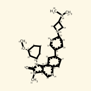 CO[C@@H]1CCC[C@H](n2c(=O)n(C)c3cnc4ccc(-c5ccc(N6CC(N(C)C)C6)nc5)cc4c32)C1